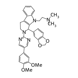 COc1ccc(-c2cnc(N3CCc4c(n(CCN(C)C)c5ccccc45)C3c3ccc4c(c3)OCO4)nc2)cc1OC